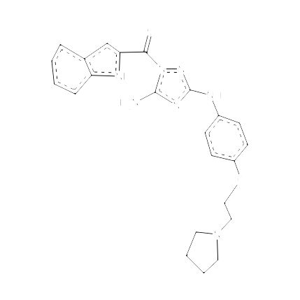 Nc1nc(Nc2ccc(OCCN3CCCC3)cc2)nn1C(=O)c1cc2ccccc2[nH]1